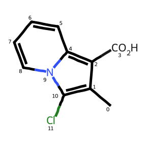 Cc1c(C(=O)O)c2ccccn2c1Cl